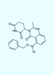 CC(=O)N(OCc1ccccc1)c1cccc2nc(C)n(C3CCC(=O)NC3=O)c(=O)c12